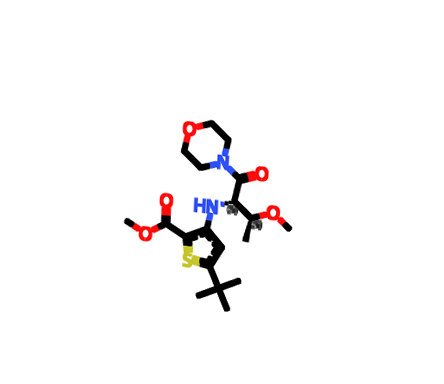 COC(=O)c1sc(C(C)(C)C)cc1N[C@H](C(=O)N1CCOCC1)[C@H](C)OC